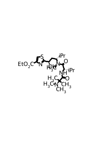 CCOC(=O)c1csc([C@H](O)C[C@H](C(C)C)N(C)C(=O)[C@@H](NC(=O)C(C)(C)N(C)C)C(C)C)n1